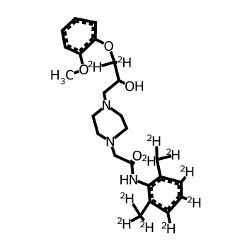 [2H]c1c([2H])c(C([2H])([2H])[2H])c(NC(=O)CN2CCN(CC(O)C([2H])([2H])Oc3ccccc3OC)CC2)c(C([2H])([2H])[2H])c1[2H]